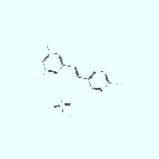 O=S(=O)(O)O.Oc1ccc(/C=C/c2cc(O)cc(O)c2)cc1